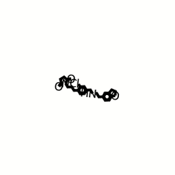 O=C1CCC(=O)N1CCCc1ccc(CNCCc2ccc3c(c2)CCO3)cc1Cl